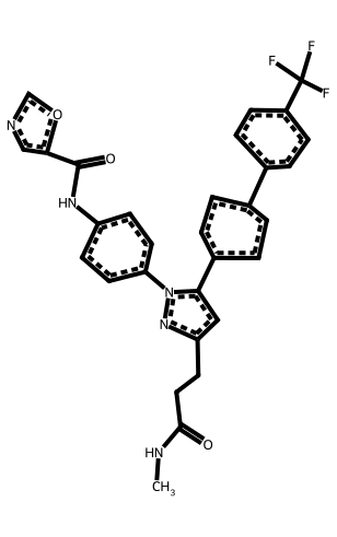 CNC(=O)CCc1cc(-c2ccc(-c3ccc(C(F)(F)F)cc3)cc2)n(-c2ccc(NC(=O)c3cnco3)cc2)n1